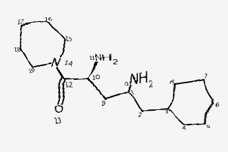 NC(CC1CCCCC1)C[C@H](N)C(=O)N1CCCCC1